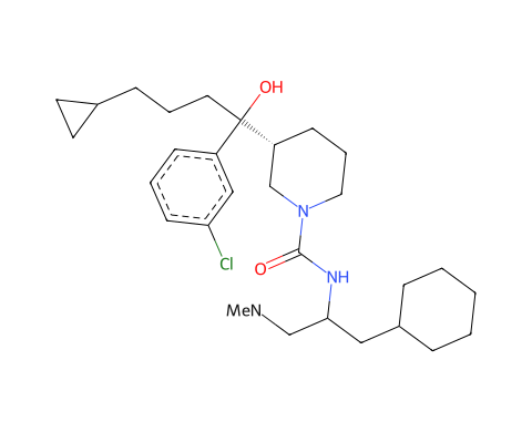 CNCC(CC1CCCCC1)NC(=O)N1CCC[C@@H](C(O)(CCCC2CC2)c2cccc(Cl)c2)C1